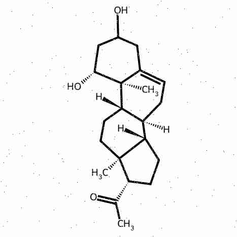 CC(=O)[C@H]1CC[C@H]2[C@@H]3CC=C4CC(O)C[C@@H](O)[C@]4(C)[C@H]3CC[C@]12C